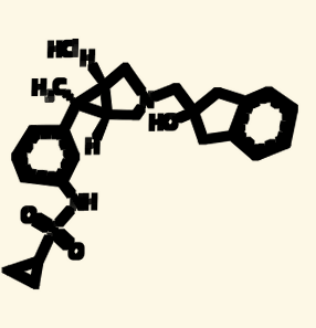 C[C@]1(c2cccc(NS(=O)(=O)C3CC3)c2)[C@@H]2CN(CC3(O)Cc4ccccc4C3)C[C@@H]21.Cl